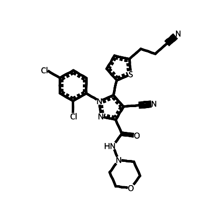 N#CCCc1ccc(-c2c(C#N)c(C(=O)NN3CCOCC3)nn2-c2ccc(Cl)cc2Cl)s1